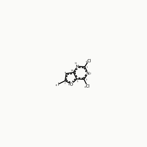 Clc1nc(Cl)c2oc(I)cc2n1